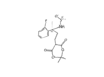 C[S@@+]([O-])N[C@@](C)(CCC1C(=O)OC(C)(C)OC1=O)c1ccccc1F